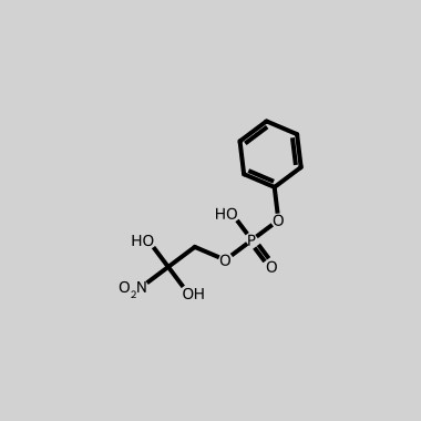 O=[N+]([O-])C(O)(O)COP(=O)(O)Oc1ccccc1